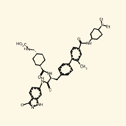 CCN(CC)C1CCC(NC(=O)c2ccc(-c3ccc(C[C@H](NC(=O)[C@H]4CC[C@H](CNC(=O)O)CC4)C(=O)Nc4ccc5c(Cl)n[nH]c5c4)cc3)c(C)c2)CC1